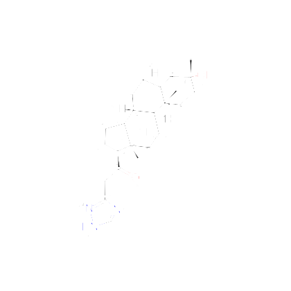 C[C@@]1(O)CC[C@@]2(C)[C@@H](CC[C@@H]3[C@@H]2CC[C@]2(C)[C@@H](C(=O)Cc4nc[nH]n4)CC[C@@H]32)C1